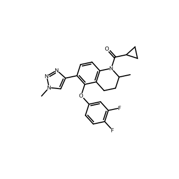 CC1CCc2c(ccc(-c3cn(C)nn3)c2Oc2ccc(F)c(F)c2)N1C(=O)C1CC1